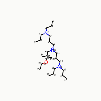 CCCN(CCC)CCCN(CCCN(CCC)CCC)C[Si](C)(C)OCC